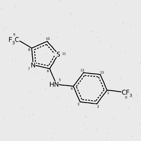 FC(F)(F)c1ccc(Nc2nc(C(F)(F)F)cs2)cc1